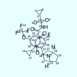 O=C(NS(=O)(=O)C1CC1)c1cc(C2CC2)c(CN2[C@@H]3CC[C@H]2C[C@H](Oc2cc(Cl)cc(OC(F)(F)F)c2)C3)cc1F